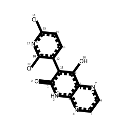 O=c1[nH]c2nccnc2c(O)c1-c1ccc(Cl)nc1Cl